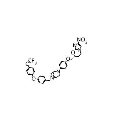 O=[N+]([O-])c1cn2c(n1)O[C@@H](COc1ccc(N3CC4CC3CN4Cc3ccc(Oc4ccc(OC(F)(F)F)cc4)cc3)cc1)CC2